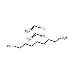 C=CC.C=CC.O=C(O)CCCCCCCC(=O)O